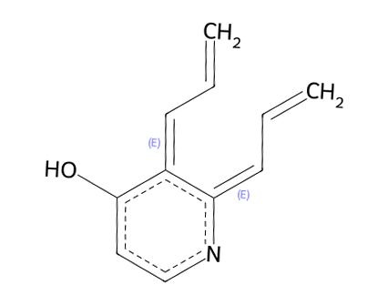 C=C/C=c1/nccc(O)/c1=C/C=C